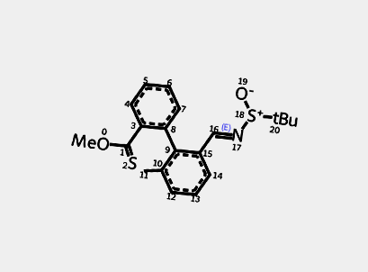 COC(=S)c1ccccc1-c1c(C)cccc1/C=N/[S+]([O-])C(C)(C)C